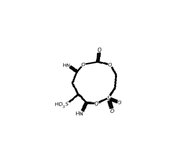 N=C1CC(S(=O)(=O)O)C(=N)OS(=O)(=O)CCOC(=O)O1